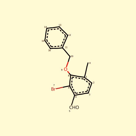 Cc1ccc(C=O)c(Br)c1OCc1ccccc1